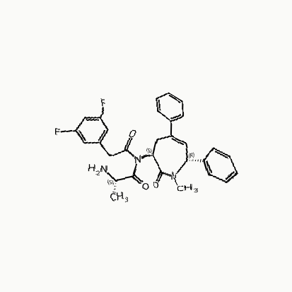 C[C@H](N)C(=O)N(C(=O)Cc1cc(F)cc(F)c1)[C@H]1CC(c2ccccc2)=C[C@H](c2ccccc2)N(C)C1=O